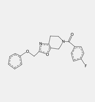 O=C(c1ccc(F)cc1)N1CCc2nc(COc3ccccc3)oc2C1